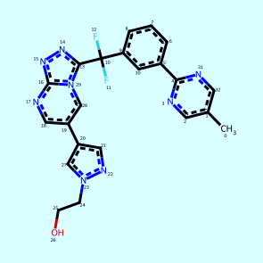 Cc1cnc(-c2cccc(C(F)(F)c3nnc4ncc(-c5cnn(CCO)c5)cn34)c2)nc1